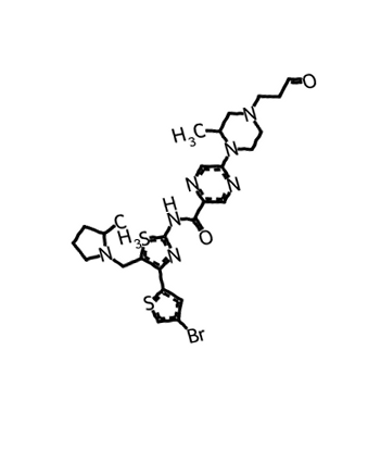 CC1CCCN1Cc1sc(NC(=O)c2cnc(N3CCN(CCC=O)CC3C)cn2)nc1-c1cc(Br)cs1